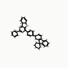 C1=CC2Sc3c(-c4ccc(C5C=CC6=C(C5)C5(CCCCC5)c5ccccc56)cc4)nc(-c4ccccc4)nc3C2C=C1